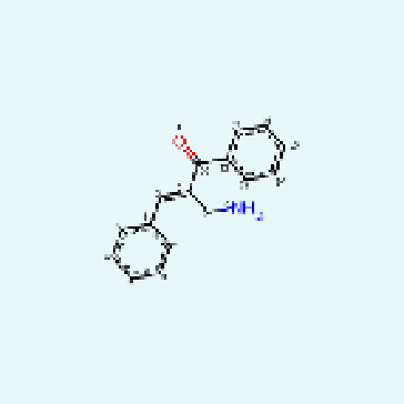 NC/C(=C\c1ccccc1)C(=O)c1ccccc1